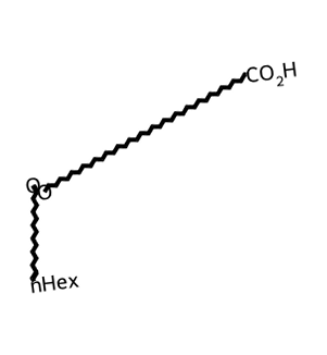 CCCCCCC=CCCCCCCCCCCCC(=O)OCCCCCCCCCCCCCCCCCCCCCCCCCCCCCCCCCCCC(=O)O